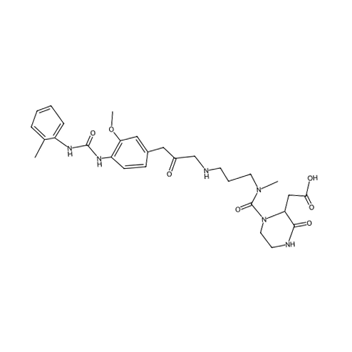 COc1cc(CC(=O)CNCCCN(C)C(=O)N2CCNC(=O)C2CC(=O)O)ccc1NC(=O)Nc1ccccc1C